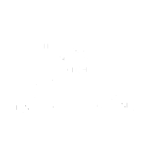 C[Si](C)(CCCC(N)=O)O[Si](C)(C)CCCC(N)=O